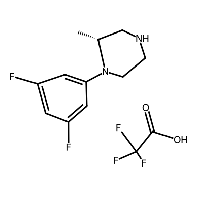 C[C@@H]1CNCCN1c1cc(F)cc(F)c1.O=C(O)C(F)(F)F